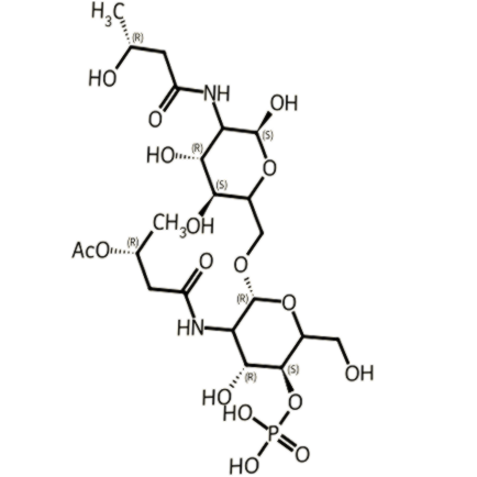 CC(=O)O[C@H](C)CC(=O)NC1[C@H](OCC2O[C@H](O)C(NC(=O)C[C@@H](C)O)[C@@H](O)[C@@H]2O)OC(CO)[C@@H](OP(=O)(O)O)[C@@H]1O